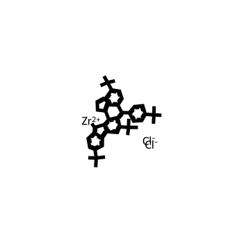 CC(C)(C)c1ccc(C(c2ccc(C(C)(C)C)cc2)=c2c(C(C)(C)C)cc3c(c2C2=CC=CC2)[C]([Zr+2])=c2ccc(C(C)(C)C)cc2=3)cc1.[Cl-].[Cl-]